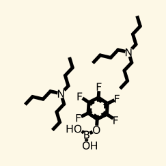 CCCCN(CCCC)CCCC.CCCCN(CCCC)CCCC.OB(O)Oc1c(F)c(F)c(F)c(F)c1F